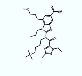 CCCn1c(N(COCC[Si](C)(C)C)C(=O)c2cc(C)nn2CC)nc2cc(C(N)=O)cc(SCCOC)c21